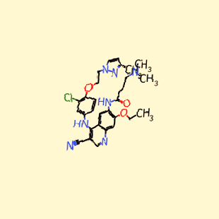 CCOc1cc2ncc(C#N)c(Nc3ccc(OCCn4ccc(C)n4)c(Cl)c3)c2cc1NC(=O)CCCN(C)C